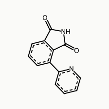 O=C1NC(=O)c2c1cccc2-c1ccccn1